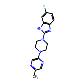 Fc1ccc2nc(N3CCN(c4cnc(C(F)(F)F)cn4)CC3)[nH]c2c1